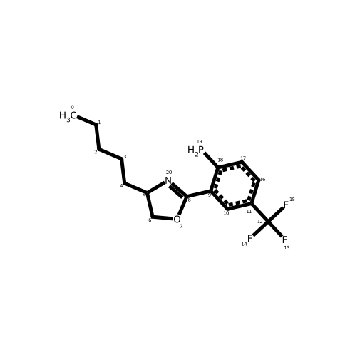 CCCCCC1COC(c2cc(C(F)(F)F)ccc2P)=N1